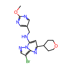 COc1ncc(CNc2cc(C3CCOCC3)nc3c(Br)cnn23)cn1